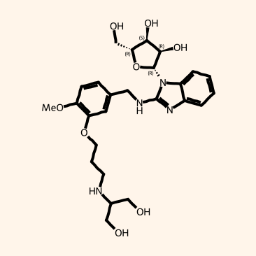 COc1ccc(CNc2nc3ccccc3n2[C@@H]2O[C@H](CO)[C@@H](O)[C@H]2O)cc1OCCCNC(CO)CO